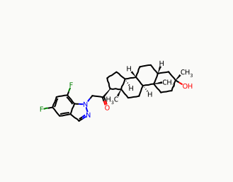 C[C@@]1(O)CC[C@@]2(C)[C@H](CC[C@@H]3[C@@H]2CC[C@]2(C)[C@@H](C(=O)Cn4ncc5cc(F)cc(F)c54)CC[C@@H]32)C1